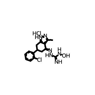 Cc1n[nH]c2c1C(=NNC(=N)NO)CC(c1ccccc1Cl)C2.Cl